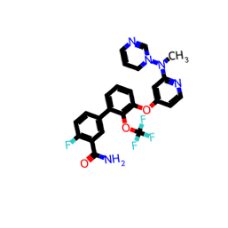 CN(c1cc(Oc2cccc(-c3ccc(F)c(C(N)=O)c3)c2OC(F)(F)F)ccn1)N1C=NC=CC1